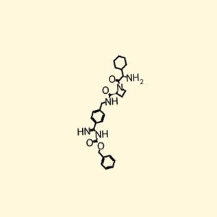 N=C(NC(=O)OCc1ccccc1)c1ccc(CNC(=O)[C@@H]2CCN2C(=O)[C@H](N)C2CCCCC2)cc1